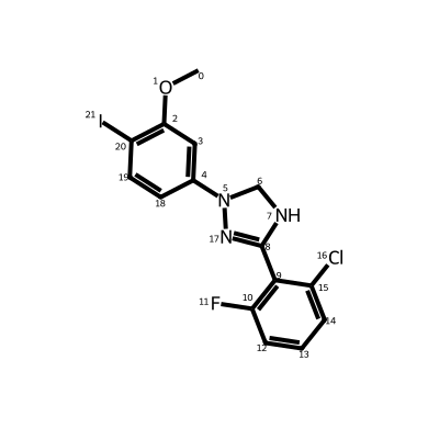 COc1cc(N2CNC(c3c(F)cccc3Cl)=N2)ccc1I